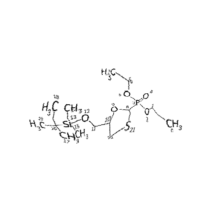 CCOP(=O)(OCC)C1OC(CO[Si](C)(C)C(C)(C)C)CS1